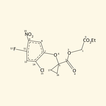 CCOC(=O)COC(=O)C1(Oc2cc([N+](=O)[O-])c(F)cc2Cl)CC1